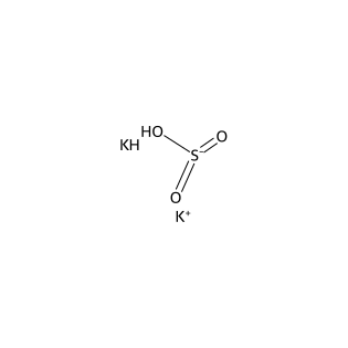 O=[S-](=O)O.[K+].[KH]